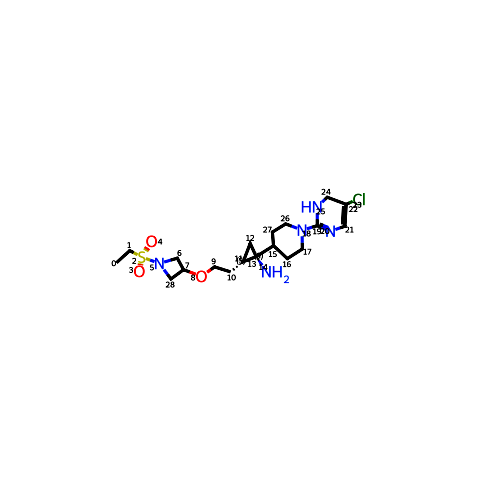 CCS(=O)(=O)N1CC(OCC[C@@H]2C[C@]2(N)C2CCN(C3=NC=C(Cl)CN3)CC2)C1